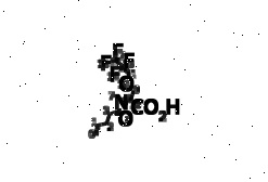 C=CCCC(=O)N(C)[C@@H](COCC(F)(F)C(F)F)C(=O)O